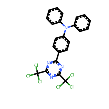 ClC(Cl)(Cl)c1nc(-c2ccc(N(c3ccccc3)c3ccccc3)cc2)nc(C(Cl)(Cl)Cl)n1